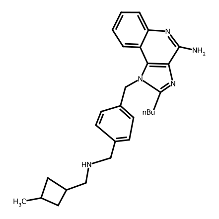 CCCCc1nc2c(N)nc3ccccc3c2n1Cc1ccc(CNCC2CC(C)C2)cc1